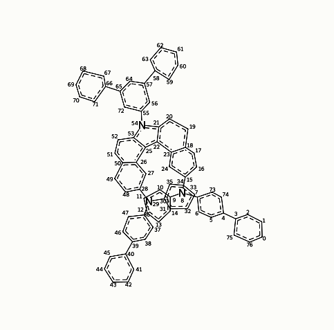 c1ccc(-c2ccc(N(c3ccccc3)c3ccc4ccc5c(c4c3)c3c4cc(N(c6ccccc6)c6ccc(-c7ccccc7)cc6)ccc4ccc3n5-c3cc(-c4ccccc4)cc(-c4ccccc4)c3)cc2)cc1